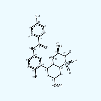 COC1CC(c2cc(NC(=O)c3ccc(F)cn3)ccc2F)C2NC(=N)N(C)S(=O)(=O)C2C1